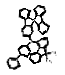 CC1(C)c2ccccc2-c2c(N(c3ccc(-c4ccccc4)cc3)c3ccc4c(c3)S3(c5ccccc5-c5ccccc53)c3ccccc3-4)cccc21